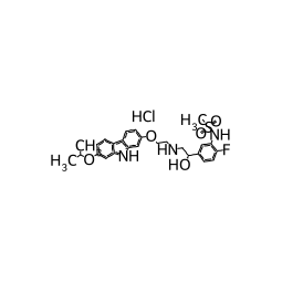 CC(C)Oc1ccc2c(c1)[nH]c1cc(OCCNC[C@H](O)c3ccc(F)c(NS(C)(=O)=O)c3)ccc12.Cl